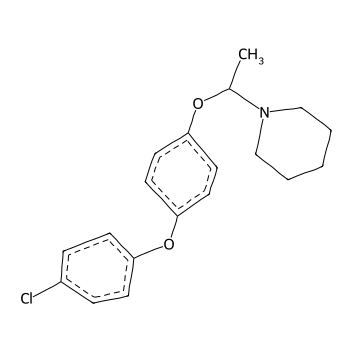 CC(Oc1ccc(Oc2ccc(Cl)cc2)cc1)N1CCCCC1